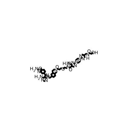 Nc1nc2cc(-c3nn(Cc4ccc5c(c4)CCN(C(=O)CCOCCNC(=O)c4cnc(N6CCN(c7ncc(CNC(=O)CO)cn7)CC6)nc4N)C5)c4ncnc(N)c34)ccc2o1